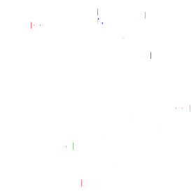 CC1(C)C[C@H]([C@@H](O)c2cccc(Cl)c2)N1.O=C(O)/C=C\C(=O)O